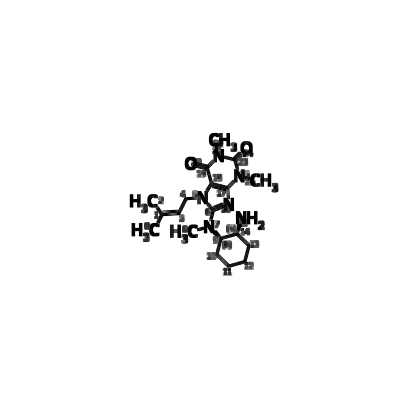 CC(C)=CCn1c(N(C)[C@@H]2CCCC[C@@H]2N)nc2c1c(=O)n(C)c(=O)n2C